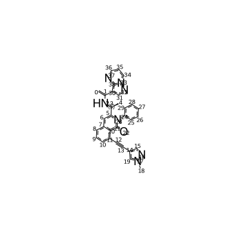 C=C(N[C@@H](C)c1cc2cccc(C#Cc3cnn(C)c3)c2c(=O)n1-c1ccccc1)c1cnn2cccnc12